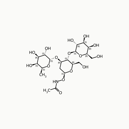 CC(=O)NO[C@H]1C[C@@H](O[C@@H]2O[C@@H](C)[C@@H](O)[C@@H](O)[C@@H]2O)[C@H](O[C@@H]2O[C@H](CO)[C@H](O)[C@H](O)[C@H]2O)[C@@H](CO)O1